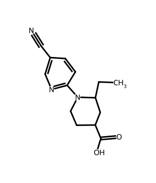 CCC1CC(C(=O)O)CCN1c1ccc(C#N)cn1